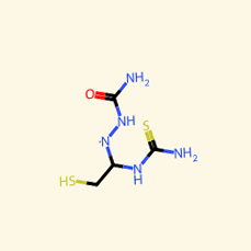 NC(=O)N[N]C(CS)NC(N)=S